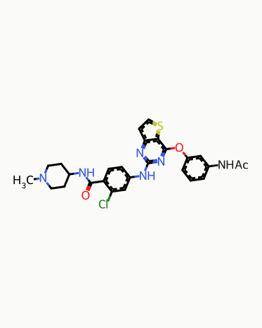 CC(=O)Nc1cccc(Oc2nc(Nc3ccc(C(=O)NC4CCN(C)CC4)c(Cl)c3)nc3ccsc23)c1